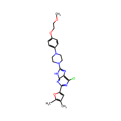 COCCOc1ccc(N2CCN(c3nc4c(Cl)nc(-c5cc(C)c(C)o5)nc4[nH]3)CC2)cc1